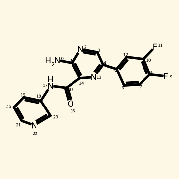 Nc1ncc(-c2ccc(F)c(F)c2)nc1C(=O)Nc1cccnc1